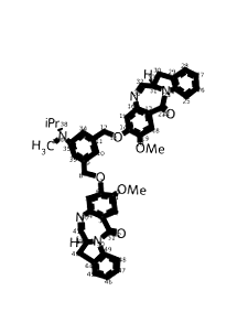 COc1cc2c(cc1OCc1cc(COc3cc4c(cc3OC)C(=O)N3c5ccccc5C[C@H]3C=N4)cc(N(C)C(C)C)c1)N=C[C@@H]1Cc3ccccc3N1C2=O